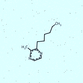 CCCCCCc1nccnc1C